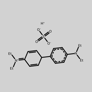 CCN(CC)c1ccc(C2C=CC(=[N+](CC)CC)C=C2)cc1.O=S(=O)([O-])[O-].[H+]